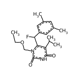 CCOCn1c(C(F)c2cc(C)cc(C)c2)c(C(C)C)c(=O)[nH]c1=O